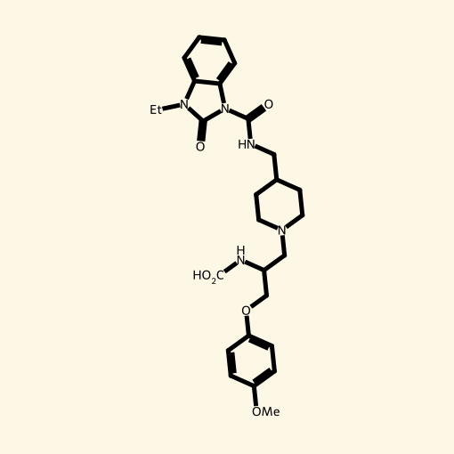 CCn1c(=O)n(C(=O)NCC2CCN(CC(COc3ccc(OC)cc3)NC(=O)O)CC2)c2ccccc21